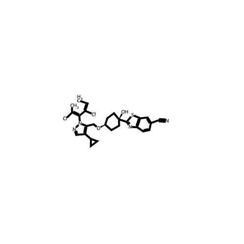 C/C=C(Cl)\C(=C(/C)Cl)n1ncc(C2CC2)c1CO[C@H]1CC[C@](O)(c2nc3ccc(C#N)cc3s2)CC1